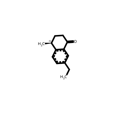 CCc1ccc2c(c1)C(=O)CC[C@@H]2C